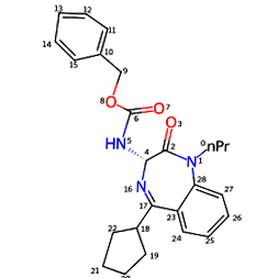 CCCN1C(=O)[C@@H](NC(=O)OCc2ccccc2)N=C(C2CCCC2)c2ccccc21